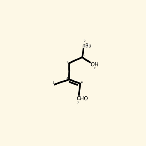 CCCCC(O)CC(C)=CC=O